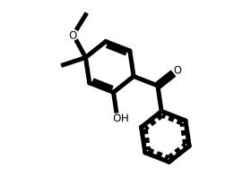 COC1(C)C=CC(C(=O)c2ccccc2)C(O)=C1